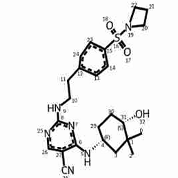 CC1(C)C[C@H](Nc2nc(NCCc3ccc(S(=O)(=O)N4CCC4)cc3)ncc2C#N)CC[C@@H]1O